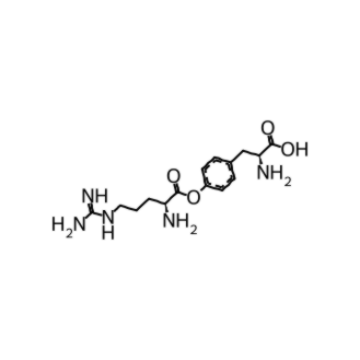 N=C(N)NCCC[C@H](N)C(=O)Oc1ccc(C[C@H](N)C(=O)O)cc1